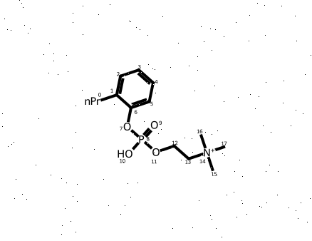 CCCc1ccccc1OP(=O)(O)OCC[N+](C)(C)C